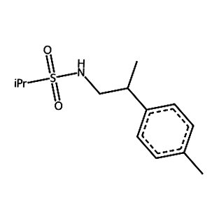 Cc1ccc(C(C)CNS(=O)(=O)C(C)C)cc1